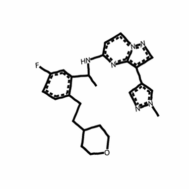 CC(Nc1ccn2ncc(-c3cnn(C)c3)c2n1)c1cc(F)ccc1CCC1CCOCC1